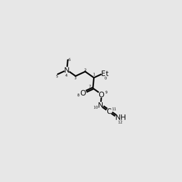 CCC(CCN(C)C)C(=O)ON=C=N